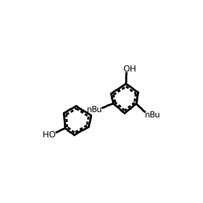 CCCCc1cc(O)cc(CCCC)c1.Oc1ccccc1